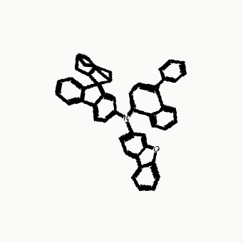 c1ccc(-c2ccc(N(c3ccc4c(c3)C3(c5ccccc5-4)C4CC5CC(C4)C3C5)c3ccc4c(c3)oc3ccccc34)c3ccccc23)cc1